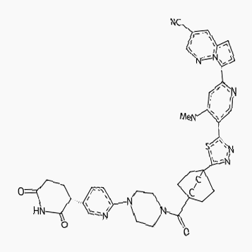 CNc1cc(-c2ccc3cc(C#N)cnn23)ncc1-c1nnc(C23CCC(C(=O)N4CCN(c5ccc([C@H]6CCC(=O)NC6=O)cn5)CC4)(CC2)CC3)s1